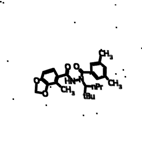 CCCC(N(NC(=O)c1ccc2c(c1C)OCO2)C(=O)c1cc(C)cc(C)c1)C(C)(C)C